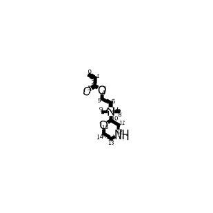 C=CC(=O)OCC[N+](C)(C)C1CNCCO1